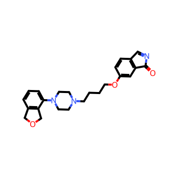 O=C1N=Cc2ccc(OCCCCN3CCN(c4cccc5c4COC5)CC3)cc21